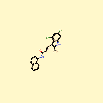 O=C(/C=C/c1c(C(=O)O)[nH]c2cc(Cl)cc(Cl)c12)Nc1cccc2ccccc12